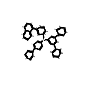 c1ccc(-c2ccc(N(c3cc(-c4ccccc4)cc(-c4ccccc4)c3)c3cccc(-c4cccc5ccccc45)c3)cc2)cc1